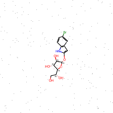 OC[C@@H](O)[C@@H]1O[C@@H](Oc2cc3cc(Br)ccc3[nH]2)[C@H](O)[C@H]1O